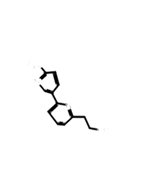 O=CCCc1cccc(-c2ccc(C(F)(F)F)nc2)n1